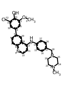 COc1cc(-c2ccc3nc[c]c(Nc4ccc(CN5CCN(C)CC5)cc4)c3c2)cc(Cl)c1O